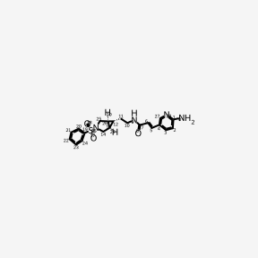 Nc1ccc(/C=C/C(=O)NCC[C@@H]2[C@H]3CN(S(=O)(=O)c4ccccc4)C[C@@H]23)cn1